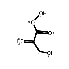 C=C(CO)C(=O)OO